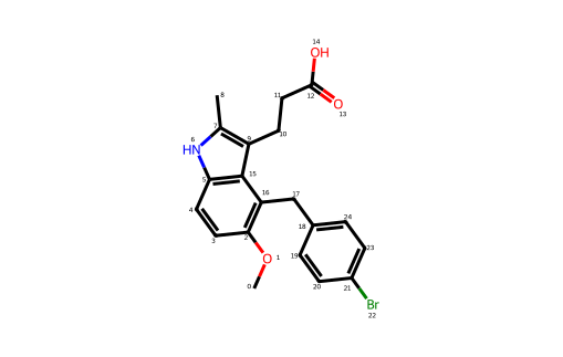 COc1ccc2[nH]c(C)c(CCC(=O)O)c2c1Cc1ccc(Br)cc1